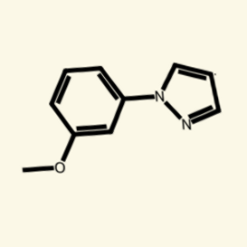 COc1cccc(-n2c[c]cn2)c1